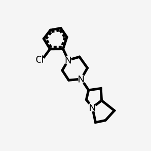 Clc1ccccc1N1CCN(C2CC3CCCN3C2)CC1